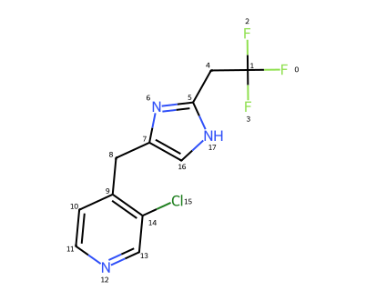 FC(F)(F)Cc1nc(Cc2ccncc2Cl)c[nH]1